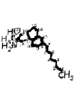 CCCCCCCCc1ccc2c(c1)CCC[C@@H]2C[C@](C)(N)CO